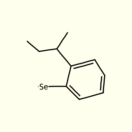 CCC(C)c1ccccc1[Se]